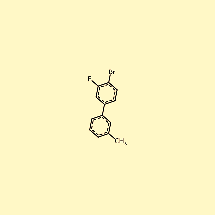 Cc1cccc(-c2ccc(Br)c(F)c2)c1